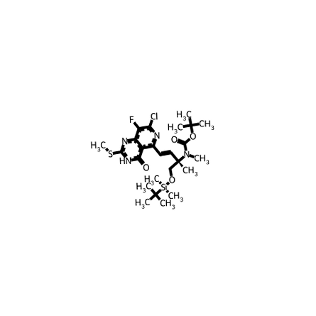 CSc1nc2c(F)c(Cl)nc(/C=C/[C@@](C)(CO[Si](C)(C)C(C)(C)C)N(C)C(=O)OC(C)(C)C)c2c(=O)[nH]1